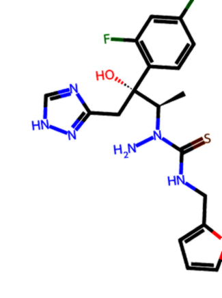 C[C@@H](N(N)C(=S)NCc1ccco1)[C@@](O)(Cc1nc[nH]n1)c1ccc(F)cc1F